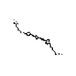 CCCCCCCCCCc1ccc(C#Cc2ccc(C#Cc3ccc(CCCCCCC)cc3)cc2)cc1